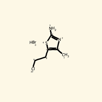 Br.Cc1nc(N)sc1CCCl